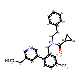 O=C(O)Cc1cncc(-c2ccc(C(F)(F)F)cc2CN(CCc2ccccc2)C(=O)C2CC2)c1